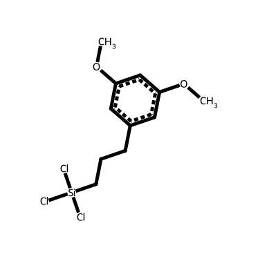 COc1cc(CCC[Si](Cl)(Cl)Cl)cc(OC)c1